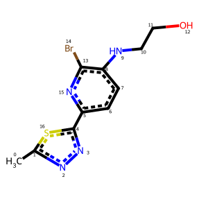 Cc1nnc(-c2ccc(NCCO)c(Br)n2)s1